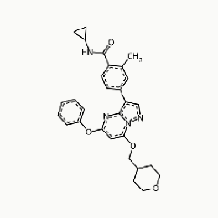 Cc1cc(-c2cnn3c(OCC4CCOCC4)cc(Oc4ccccc4)nc23)ccc1C(=O)NC1CC1